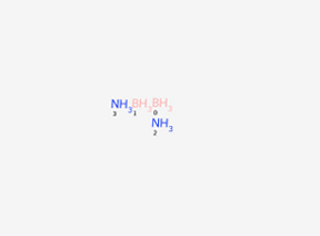 B.B.N.N